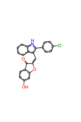 O=C1C(=Cc2c(-c3ccc(Cl)cc3)[nH]c3ccccc23)Oc2cc(O)ccc21